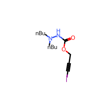 CCCCN(CCCC)NC(=O)OCC#CI